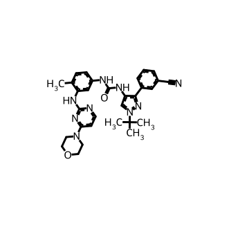 Cc1ccc(NC(=O)Nc2cn(C(C)(C)C)nc2-c2cccc(C#N)c2)cc1Nc1nccc(N2CCOCC2)n1